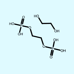 O=P(O)(O)OCCOP(=O)(O)O.OCCO